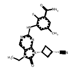 CCn1c(=O)n([C@H]2C[C@@H](C#N)C2)c2nc(Nc3cc(C)cc(C(N)=O)c3F)ncc21